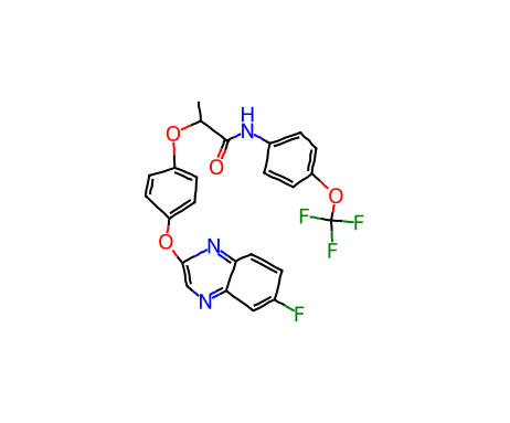 CC(Oc1ccc(Oc2cnc3cc(F)ccc3n2)cc1)C(=O)Nc1ccc(OC(F)(F)F)cc1